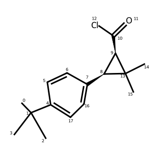 CC(C)(C)c1ccc([C@H]2[C@@H](C(=O)Cl)C2(C)C)cc1